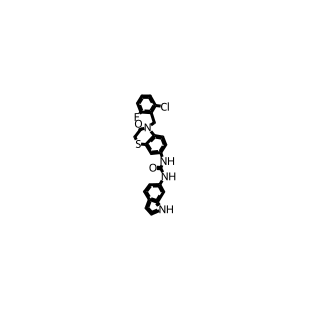 O=C(Nc1ccc2c(c1)SCC(=O)N2Cc1c(F)cccc1Cl)Nc1ccc2cc[nH]c2c1